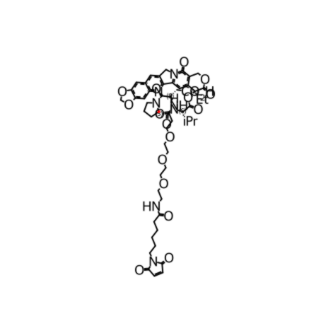 CC[C@@]1(OC(=O)[C@@H](NC(=O)[C@@H]2CCCN2C(=O)[C@H](CC(=O)O)NC(=O)CCOCCOCCOCCNC(=O)CCCCCN2C(=O)C=CC2=O)C(C)C)C(=O)OCc2c1cc1n(c2=O)Cc2cc3cc4c(cc3nc2-1)OCO4